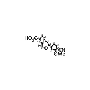 COc1cc(C2CN3CCN(C(=O)O)C[C@H]3CO2)ccc1C#N